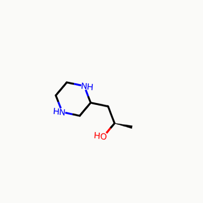 C[C@@H](O)CC1CNCCN1